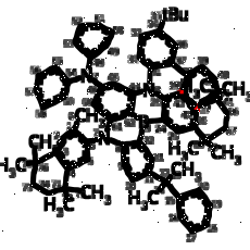 Cc1cc2c(cc1N1c3ccc(C(C)(C)c4ccccc4)cc3B3c4cc5c(cc4N(c4ccc(C(C)(C)C)cc4-c4ccccc4)c4cc(N(c6ccccc6)c6ccccc6)cc1c43)C(C)(C)CCC5(C)C)C(C)(C)CCC2(C)C